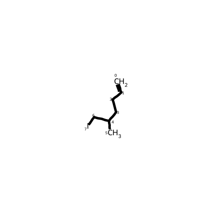 C=CCCC(C)CI